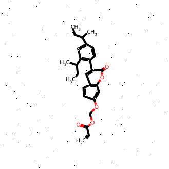 C=CC(=O)OCOc1ccc2cc(-c3ccc(C(C)CC)cc3C(C)CC)c(=O)oc2c1